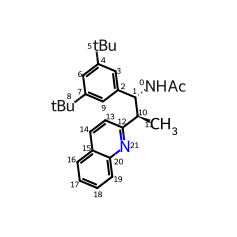 CC(=O)N[C@@H](c1cc(C(C)(C)C)cc(C(C)(C)C)c1)[C@@H](C)c1ccc2ccccc2n1